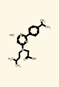 CC(C)CCN(CC(=O)O)c1ccnc(-c2ccc(C(C)C)cc2)n1.Cl